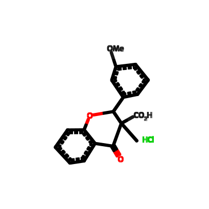 COc1cccc(C2Oc3ccccc3C(=O)C2(C)C(=O)O)c1.Cl